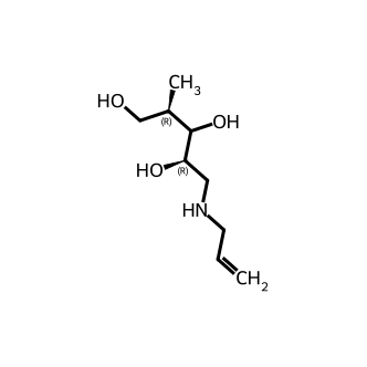 C=CCNC[C@@H](O)C(O)[C@H](C)CO